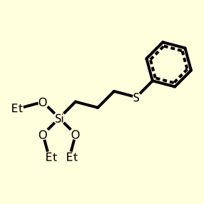 CCO[Si](CCCSc1ccccc1)(OCC)OCC